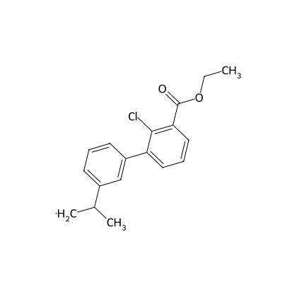 [CH2]C(C)c1cccc(-c2cccc(C(=O)OCC)c2Cl)c1